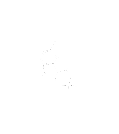 N#Cc1ccc(N)cc1N1CCC(F)(F)CC1